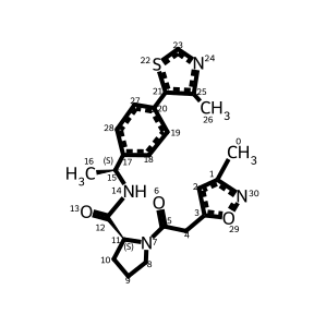 Cc1cc(CC(=O)N2CCC[C@H]2C(=O)N[C@@H](C)c2ccc(-c3scnc3C)cc2)on1